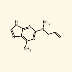 C=CCN(N)c1nc(N)c2nc[nH]c2n1